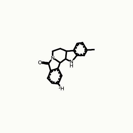 [2H]c1ccc2c(c1)C1C3Nc4cc(C)ccc4C3CCN1C2=O